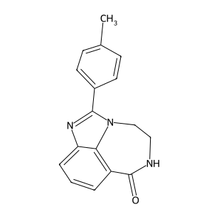 Cc1ccc(-c2nc3cccc4c3n2CCNC4=O)cc1